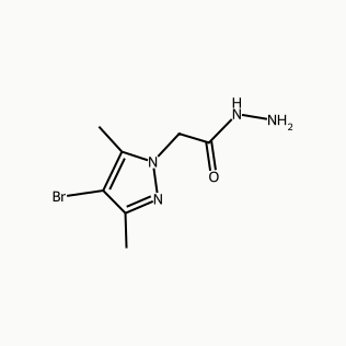 Cc1nn(CC(=O)NN)c(C)c1Br